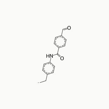 [CH2]Cc1ccc(NC(=O)c2ccc(C=O)cc2)cc1